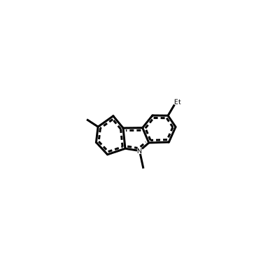 CCc1ccc2c(c1)c1cc(C)ccc1n2C